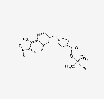 CC(C)(C)OC(=O)N1CCN(Cc2cnc3c(O)c([N+](=O)[O-])ccc3c2)CC1